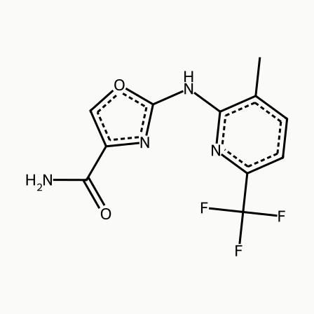 Cc1ccc(C(F)(F)F)nc1Nc1nc(C(N)=O)co1